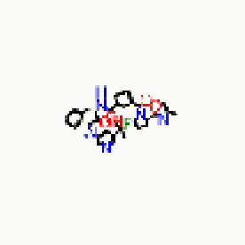 Cc1coc([C@H]2CCCN2C(=O)c2cccc(C(=O)N[C@@H](Cc3ccccc3)[C@H](O)CN(C)c3cncc(C(C)(C)F)c3)c2)n1